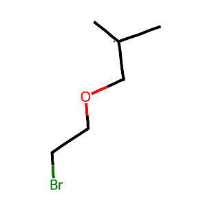 C[C](C)COCCBr